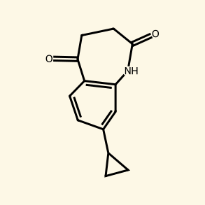 O=C1CCC(=O)c2ccc(C3CC3)cc2N1